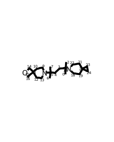 CC(C)(CCC(C)(C)N1CCC2(CC1)COC2)N1CCC2(CC1)CC2